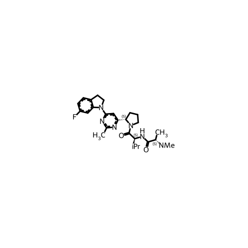 CN[C@@H](C)C(=O)N[C@H](C(=O)N1CCC[C@H]1c1cc(N2CCc3ccc(F)cc32)nc(C)n1)C(C)C